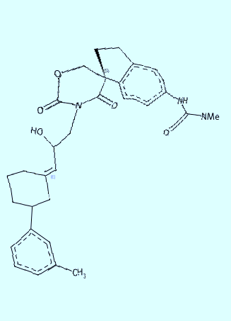 CNC(=O)Nc1ccc2c(c1)CC[C@@]21COC(=O)N(CC(O)/C=C2\CCCC(c3cccc(C)c3)C2)C1=O